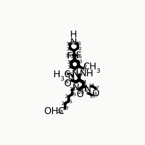 CC(Nc1nn(C)c(=O)c2c1cc(N1CCOCC1)c(=O)n2CCCCCCC=O)c1cccc(C(F)(F)C2CCNCC2)c1